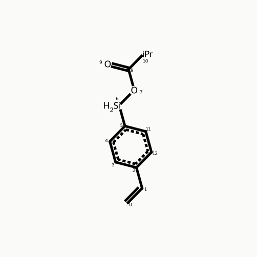 C=Cc1ccc([SiH2]OC(=O)C(C)C)cc1